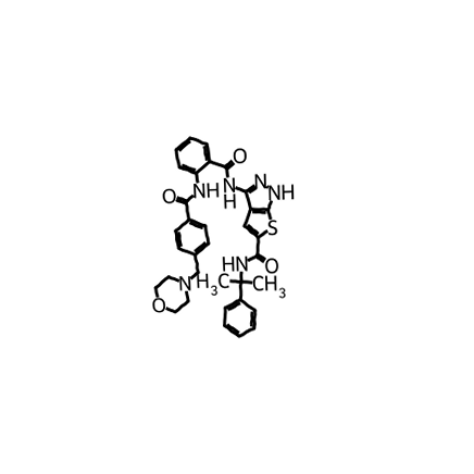 CC(C)(NC(=O)c1cc2c(NC(=O)c3ccccc3NC(=O)c3ccc(CN4CCOCC4)cc3)n[nH]c2s1)c1ccccc1